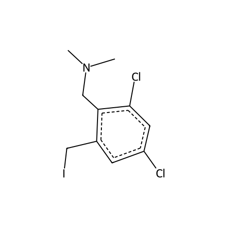 CN(C)Cc1c(Cl)cc(Cl)cc1CI